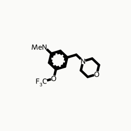 CNc1cc(CN2CCOCC2)cc(OC(F)(F)F)c1